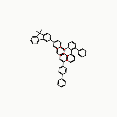 CC1(C)c2ccccc2-c2cc(-c3ccc(N(c4ccc(-c5ccc(-c6ccccc6)cc5)cc4)c4cccc(-c5ccccc5)c4-c4ccccc4-c4ccccc4)cc3)ccc21